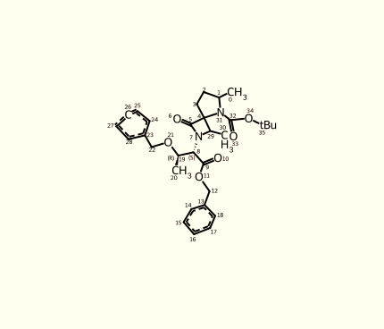 CC1CCC2(C(=O)N([C@H](C(=O)OCc3ccccc3)[C@@H](C)OCc3ccccc3)C2C)N1C(=O)OC(C)(C)C